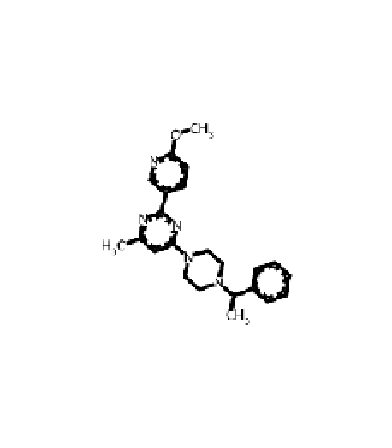 COc1ccc(-c2nc(C)cc(N3CCN(C(C)c4ccccc4)CC3)n2)cn1